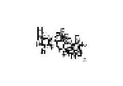 Nc1cc(Oc2ccc(C(F)(F)F)c(Oc3cc(N)c(F)c(F)c3F)c2C(F)(F)F)c(F)c(F)c1F